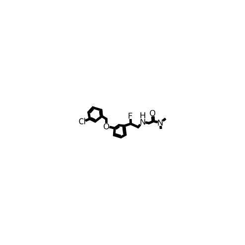 CN(C)C(=O)CNCC(F)c1cccc(OCc2cccc(Cl)c2)c1